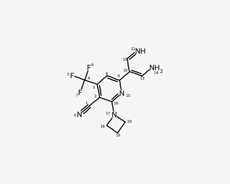 N#Cc1c(C(F)(F)F)cc(/C(C=N)=C/N)nc1N1CCC1